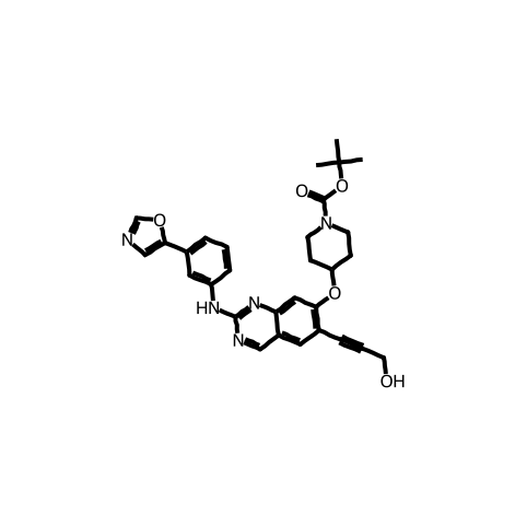 CC(C)(C)OC(=O)N1CCC(Oc2cc3nc(Nc4cccc(-c5cnco5)c4)ncc3cc2C#CCO)CC1